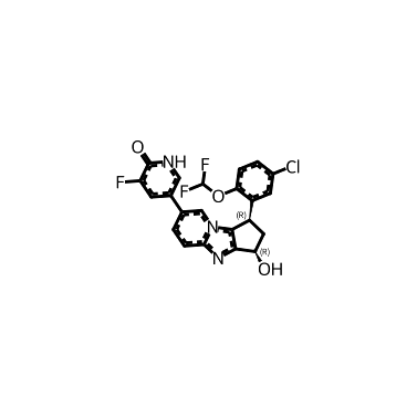 O=c1[nH]cc(-c2ccc3nc4c(n3c2)[C@@H](c2cc(Cl)ccc2OC(F)F)C[C@H]4O)cc1F